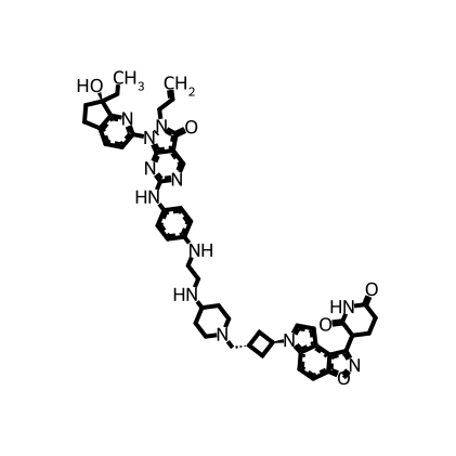 C=CCn1c(=O)c2cnc(Nc3ccc(NCCNC4CCN(C[C@H]5C[C@H](n6ccc7c8c(C9CCC(=O)NC9=O)noc8ccc76)C5)CC4)cc3)nc2n1-c1ccc2c(n1)[C@@](O)(CC)CC2